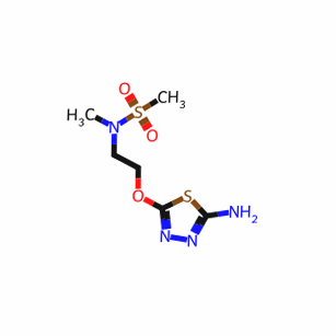 CN(CCOc1nnc(N)s1)S(C)(=O)=O